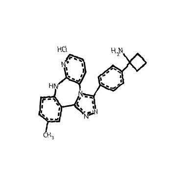 Cc1ccc2c(c1)-c1nnc(-c3ccc(C4(N)CCC4)cc3)n1-c1cccnc1N2.Cl